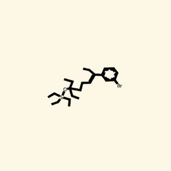 CCC(=CCCC(CC)(CC)O[Si](CC)(CC)CC)c1cccc(Br)c1